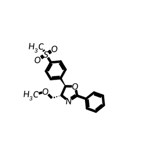 COC[C@H]1N=C(c2ccccc2)O[C@@H]1c1ccc(S(C)(=O)=O)cc1